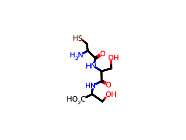 NC(CS)C(=O)NC(CO)C(=O)NC(CO)C(=O)O